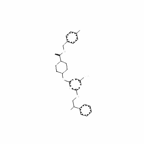 CNc1nc(NCC(C)c2ccccc2)nc(NC2CCC(C(=O)NCc3ccc(C(F)(F)F)cc3)CC2)n1